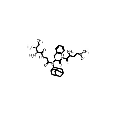 CC[C@H](C)[C@H](N)C(=O)NCC(=O)N(C1C2CC3CC(C2)CC1C3)[C@@H](Cc1ccccc1)C(=O)NC(=O)C(N)CC[S+](C)[O-]